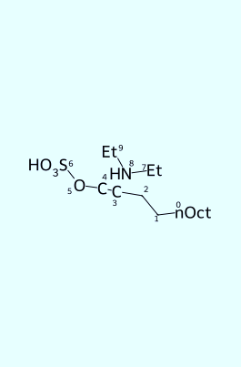 CCCCCCCCCCCCOS(=O)(=O)O.CCNCC